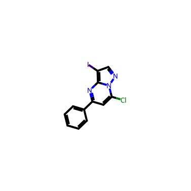 Clc1cc(-c2ccccc2)nc2c(I)cnn12